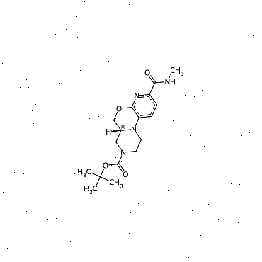 CNC(=O)c1ccc2c(n1)OC[C@H]1CN(C(=O)OC(C)(C)C)CCN21